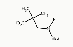 CCCCN(CC)CC(C)(C)C(=O)O